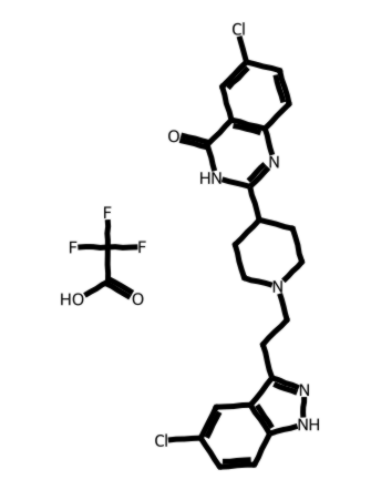 O=C(O)C(F)(F)F.O=c1[nH]c(C2CCN(CCc3n[nH]c4ccc(Cl)cc34)CC2)nc2ccc(Cl)cc12